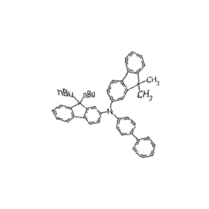 CCCCC1(CCCC)c2ccccc2-c2ccc(N(c3ccc(-c4ccccc4)cc3)c3ccc4c(c3)C(C)(C)c3ccccc3-4)cc21